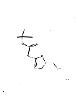 CC(C)(C)OC(=O)NC1=NCC(CO)S1